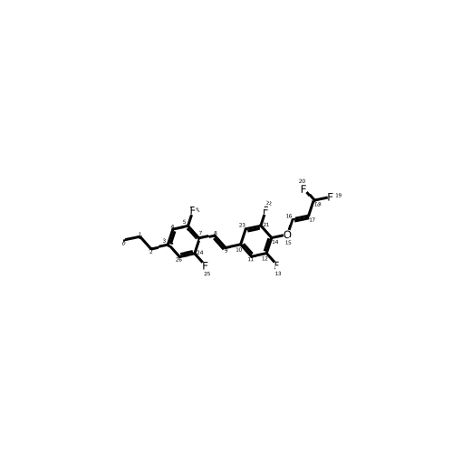 CCCc1cc(F)c(/C=C/c2cc(F)c(O/C=C/C(F)F)c(F)c2)c(F)c1